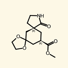 COC(=O)[C@H]1CC2(C[C@]3(CCNC3=O)C1)OCCO2